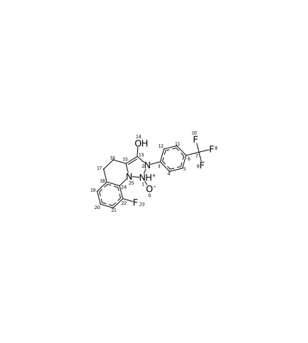 [O-][NH+]1N(c2ccc(C(F)(F)F)cc2)C(O)=C2CCc3cccc(F)c3N21